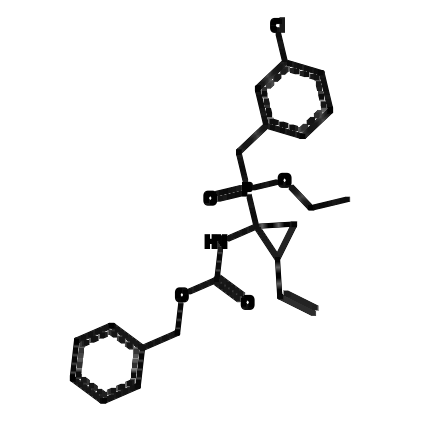 C=CC1CC1(NC(=O)OCc1ccccc1)P(=O)(Cc1cccc(Cl)c1)OCC